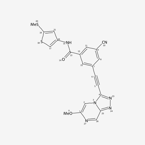 COc1cn2c(C#Cc3cc(C#N)cc(C(=O)Nc4csc(SC)c4)c3)nnc2cn1